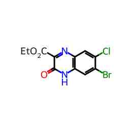 CCOC(=O)c1nc2cc(Cl)c(Br)cc2[nH]c1=O